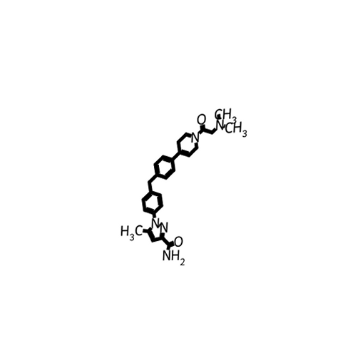 Cc1cc(C(N)=O)nn1-c1ccc(Cc2ccc(C3=CCN(C(=O)CN(C)C)CC3)cc2)cc1